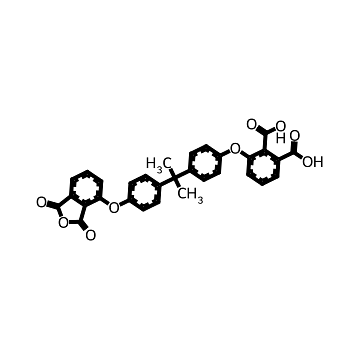 CC(C)(c1ccc(Oc2cccc(C(=O)O)c2C(=O)O)cc1)c1ccc(Oc2cccc3c2C(=O)OC3=O)cc1